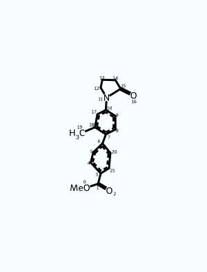 COC(=O)c1ccc(-c2ccc(N3CCCC3=O)cc2C)cc1